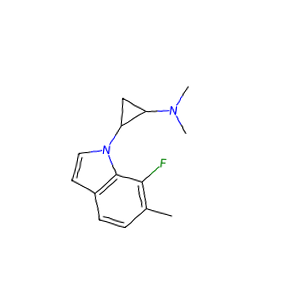 Cc1ccc2ccn(C3CC3N(C)C)c2c1F